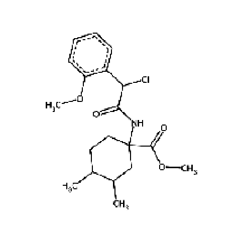 COC(=O)C1(NC(=O)C(Cl)c2ccccc2OC)CCC(C)C(C)C1